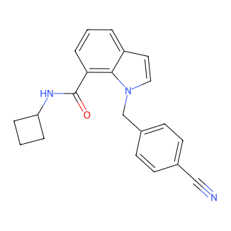 N#Cc1ccc(Cn2ccc3cccc(C(=O)NC4CCC4)c32)cc1